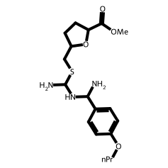 CCCOc1ccc(C(N)NC(N)SCC2CCC(C(=O)OC)O2)cc1